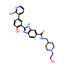 CCc1ncccc1-c1ccc(O)c(-c2nc3ccc(C(=O)NCC4CCN(CCO)CC4)cc3[nH]2)c1